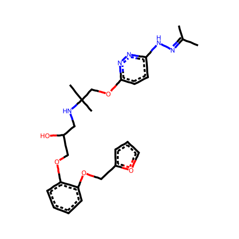 CC(C)=NNc1ccc(OCC(C)(C)NCC(O)COc2ccccc2OCc2ccco2)nn1